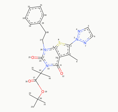 Cc1c(-n2nccn2)sc2c1c(=O)n(C(C)(C)C(=O)OC(C)(C)C)c(=O)n2CCc1ccccc1